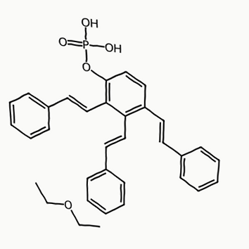 CCOCC.O=P(O)(O)Oc1ccc(/C=C/c2ccccc2)c(/C=C/c2ccccc2)c1/C=C/c1ccccc1